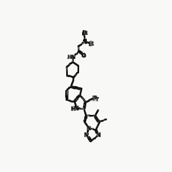 CCN(CC)CC(=O)NC1CCC(c2ccc3[nH]c(-c4cn5ncnc5c(C)c4C)c(C(C)C)c3c2)CC1